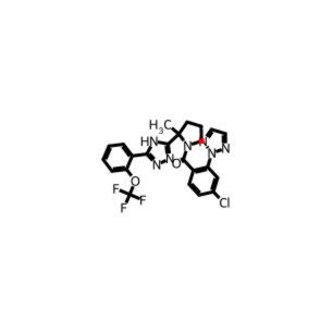 CC1(c2nnc(-c3ccccc3OC(F)(F)F)[nH]2)CCCN1C(=O)c1ccc(Cl)cc1-n1nccn1